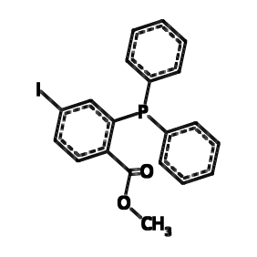 COC(=O)c1ccc(I)cc1P(c1ccccc1)c1ccccc1